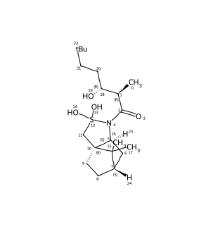 C[C@@H](C(=O)N1[C@H]2C[C@@H]3CC[C@@]2(CS1(O)O)C3(C)C)[C@H](O)CCC(C)(C)C